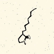 CCCCCCCCC1CCN(C)C1=O